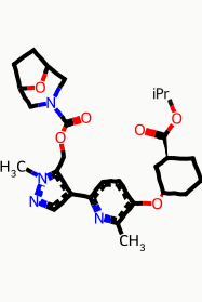 Cc1nc(-c2cnn(C)c2COC(=O)N2CC3CCC(C2)O3)ccc1O[C@H]1CCC[C@H](C(=O)OC(C)C)C1